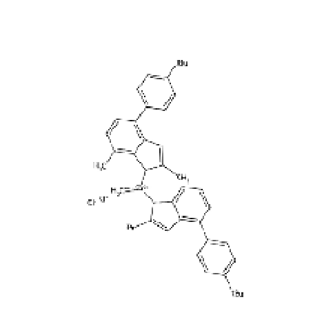 [CH2]=[Zr+2]([CH]1C(C(C)C)=Cc2c(-c3ccc(C(C)(C)C)cc3)cccc21)[CH]1C(C)=Cc2c(-c3ccc(C(C)(C)C)cc3)ccc(C)c21.[Cl-].[Cl-]